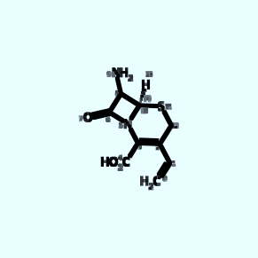 C=CC1=C(C(=O)O)N2C(=O)C(N)[C@H]2SC1